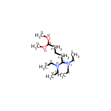 CCN(CC)C([SiH2]C[SiH2]C(OC)OC)N(CC)CC